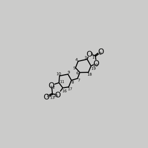 O=C1OC2CCC(CC3CCC4OC(=O)OC4C3)CC2O1